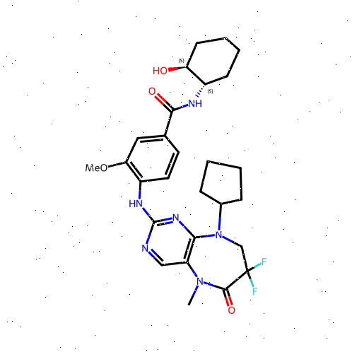 COc1cc(C(=O)N[C@H]2CCCC[C@@H]2O)ccc1Nc1ncc2c(n1)N(C1CCCC1)CC(F)(F)C(=O)N2C